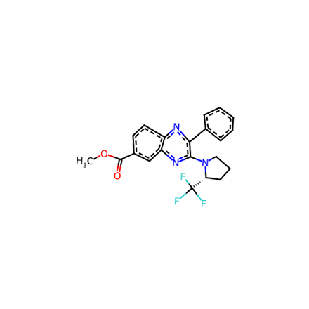 COC(=O)c1ccc2nc(-c3ccccc3)c(N3CCC[C@@H]3C(F)(F)F)nc2c1